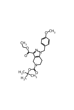 CCOC(=O)c1nn(Cc2ccc(OC)cc2)c2c1CN(C(=O)OC(C)(C)C)CC2